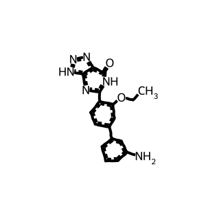 CCOc1cc(-c2cccc(N)c2)ccc1-c1nc2[nH]nnc2c(=O)[nH]1